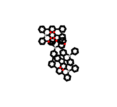 c1ccc(-c2ccc(-c3ccccc3N(c3ccc4c(c3)C3(c5ccccc5-4)c4ccccc4N(c4ccc(-c5cccc(-c6ccc(-c7ccccc7N(c7ccccc7)c7ccc8c(c7)C7(c9ccccc9-8)c8ccccc8N(c8ccccc8)c8ccccc87)cc6)c5)cc4)c4ccccc43)c3ccccc3-c3ccc(-c4ccccc4)cc3)cc2)cc1